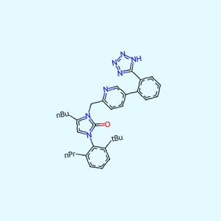 CCCCc1cn(-c2c(CCC)cccc2C(C)(C)C)c(=O)n1Cc1ccc(-c2ccccc2-c2nnn[nH]2)cn1